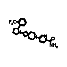 NC(=O)c1ccc(N2CCC3(CC2)CC(N2CCCC2c2ccccc2C(F)(F)F)C3)cn1